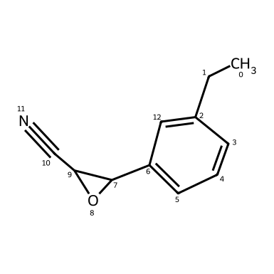 CCc1cccc(C2OC2C#N)c1